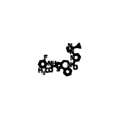 Cc1cccc(F)c1NC(=O)c1cc2c(s1)-c1ccccc1N(C(=O)c1cccc(-n3ccnc3C3CC3)n1)CC2